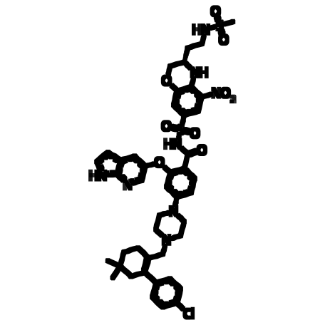 CC1(C)CCC(CN2CCN(c3ccc(C(=O)NS(=O)(=O)c4cc5c(c([N+](=O)[O-])c4)N[C@H](CCNS(C)(=O)=O)CO5)c(Oc4cnc5[nH]ccc5c4)c3)CC2)=C(c2ccc(Cl)cc2)C1